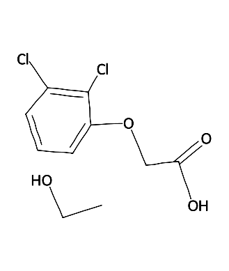 CCO.O=C(O)COc1cccc(Cl)c1Cl